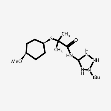 CO[C@H]1CC[C@@H](SC(C)(C)C(=O)NC2NNN(C(C)(C)C)N2)CC1